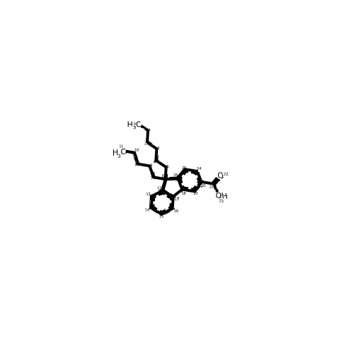 CCCCCCC1(CCCCC)c2ccccc2-c2cc(C(=O)O)ccc21